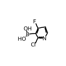 OB(O)c1c(F)ccnc1Cl